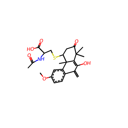 C=C1C(O)=C2C(C)(C)C(=O)CC(SCC(NC(C)=O)C(=O)O)C2(C)c2cc(OC)ccc21